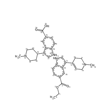 CCOC(=O)c1ccc2[nH]cc(C3=CCN(C)CC3)c2c1.CN1CCC(c2c[nH]c3ccc(C(=O)O)cc23)CC1